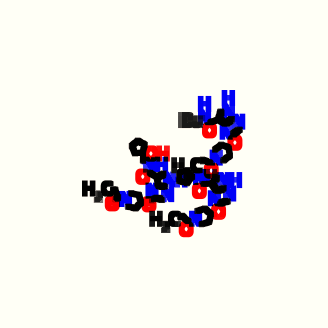 C=CC(=O)N1CCC(Oc2cnc3[nH]cc(C(=O)NC4CCCC4)c3n2)CC1.C=CC(=O)N1CCC(Oc2cnc3[nH]cc(C(=O)NCC4(O)CCCC4)c3n2)CC1.C=CC(=O)N1CCC(Oc2cnc3[nH]cc(C(=O)N[C@@H](C)CC)c3n2)CC1